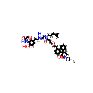 CN1CCC(c2ccccc2)(c2cc(CCOCCC(=O)N(CCCC3CC3)CCNCCc3ccc(O)c4c3OCC(=O)N4)ccc2O)CC1